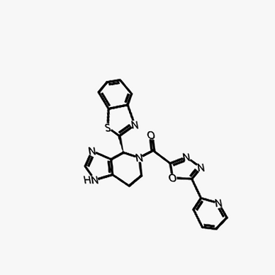 O=C(c1nnc(-c2ccccn2)o1)N1CCc2[nH]cnc2[C@H]1c1nc2ccccc2s1